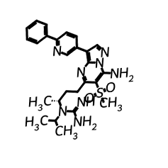 CC(C)N(C(=N)N)[C@H](C)CCc1nc2c(-c3ccc(-c4ccccc4)nc3)cnn2c(N)c1S(C)(=O)=O